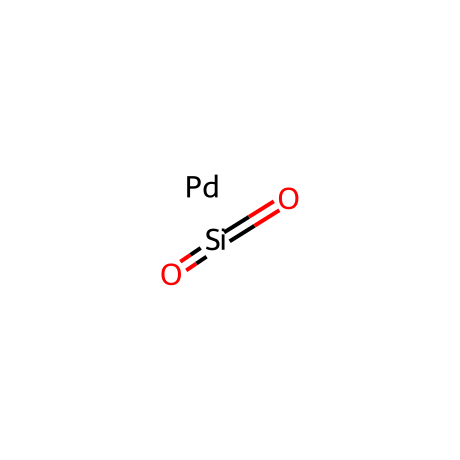 O=[Si]=O.[Pd]